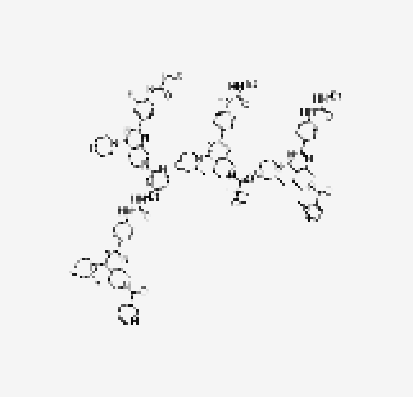 CCNC(=O)Nc1ccc(-c2nc3c(c(N4CCOCC4)n2)CCN(c2ncccn2)C3)cc1F.CCNC(=O)Nc1ccc(-c2nc3c(c(N4CCOC[C@@H]4C)n2)CCN(C(=O)C(C)(C)O)C3)cc1.CCNC(=O)Nc1ccc(-c2nc3c(c(N4CCOC[C@@H]4C)n2)CCN(C(=O)c2cccnc2)C3)cc1.CCNC(=O)Nc1ccc(-c2nc3c(c(N4CCOC[C@@H]4C)n2)CCN(C(=O)c2ccnn2C)C3)cc1